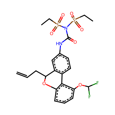 C=CCC1Oc2cccc(OC(F)F)c2-c2ccc(NC(=O)N(S(=O)(=O)CC)S(=O)(=O)CC)cc21